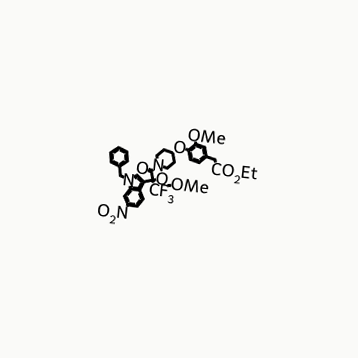 CCOC(=O)Cc1ccc(OC2CCN(C(=O)C(OCOC)(c3cn(Cc4ccccc4)c4cc([N+](=O)[O-])ccc34)C(F)(F)F)CC2)c(OC)c1